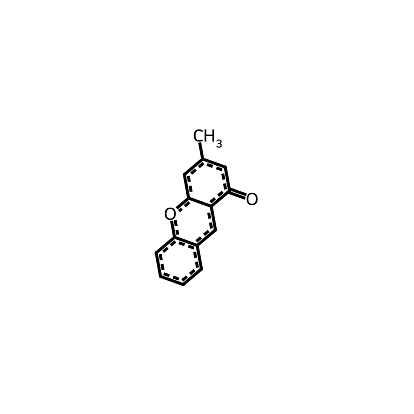 Cc1cc2oc3ccccc3cc-2c(=O)c1